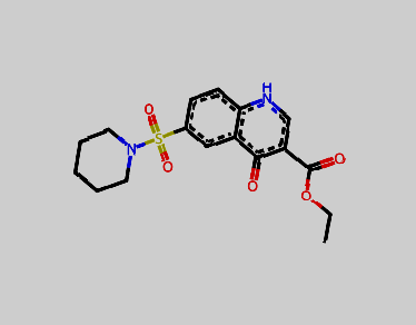 CCOC(=O)c1c[nH]c2ccc(S(=O)(=O)N3CCCCC3)cc2c1=O